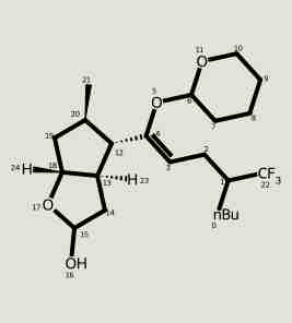 CCCCC(CC=C(OC1CCCCO1)[C@@H]1[C@H]2CC(O)O[C@@H]2C[C@H]1C)C(F)(F)F